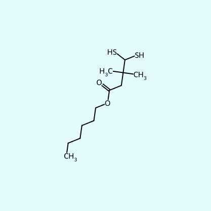 CCCCCCOC(=O)CC(C)(C)C(S)S